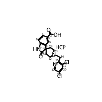 Cl.O=C(O)c1ccc2c(c1)C1(CCN(Cc3ncc(Cl)cc3Cl)CC1)C(=O)N2